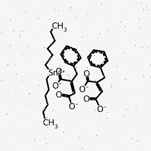 CCCCC[CH2][Sn+4][CH2]CCCCC.O=C([O-])/C=C(/Cc1ccccc1)C(=O)[O-].O=C([O-])/C=C(/Cc1ccccc1)C(=O)[O-]